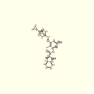 Cc1c(OCC23COC(C4CC4)(OC2)OC3)ccnc1C[S+]([O-])c1nc2ccccc2[nH]1.[Na]